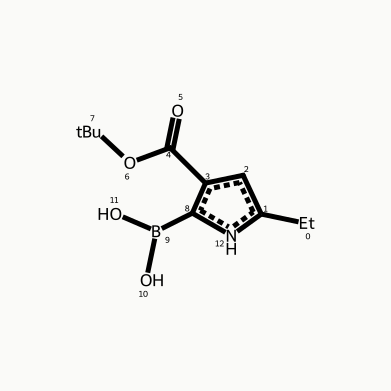 CCc1cc(C(=O)OC(C)(C)C)c(B(O)O)[nH]1